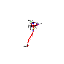 COC(=O)CCOCCOCCOCCOCCOCCOCCOCCOCCNC(=O)CSC(C)(C)CCC(=O)N(C)[C@@H](C)C(=O)O[C@H]1CC(=O)N(C)c2cc(cc(OC)c2Cl)C/C(C)=C/C=C/[C@@H](OC)[C@@]2(O)C[C@H](OC(=O)N2)[C@@H](C)[C@@H]2O[C@@]12C